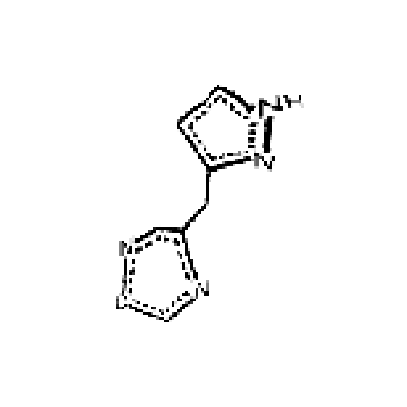 c1cc(-c2ncon2)n[nH]1